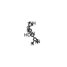 Cn1cc2cc(-c3cnc(-c4ccc(OC5CC(C)(C)NC(C)(C)C5)nn4)c(O)c3)cc(C#N)c2n1